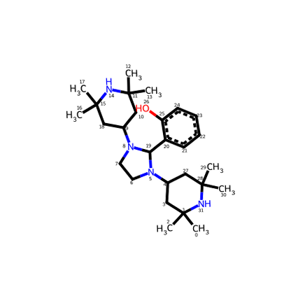 CC1(C)CC(N2CCN(C3CC(C)(C)NC(C)(C)C3)C2c2ccccc2O)CC(C)(C)N1